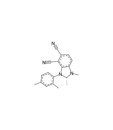 Cc1ccc(N2c3c(ccc(C#N)c3C#N)N(C)[C@@H]2C)c(C)c1